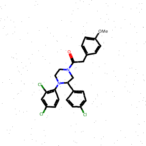 COc1ccc(CC(=O)N2CCN(c3ccc(Cl)cc3Cl)C(c3ccc(Cl)cc3)C2)cc1